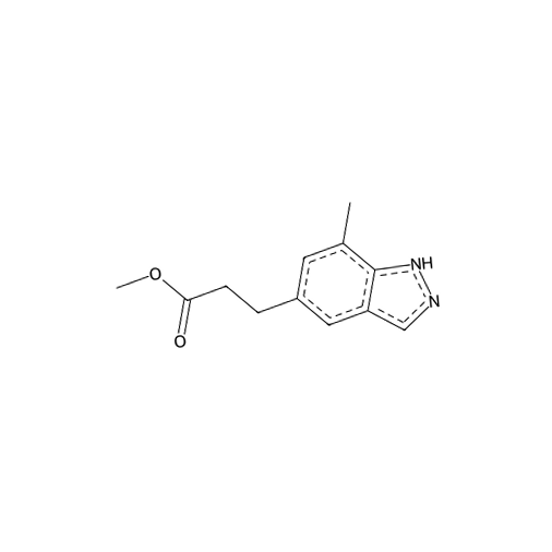 COC(=O)CCc1cc(C)c2[nH]ncc2c1